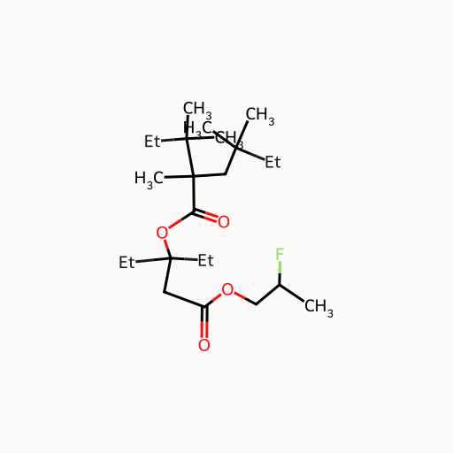 CCC(C)(C)CC(C)(C(=O)OC(CC)(CC)CC(=O)OCC(C)F)C(C)(C)CC